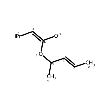 CC=CC(C)OC([O])=CC(C)C